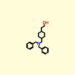 OCCC1CCC(CN(Cc2ccccc2)Cc2ccccc2)CC1